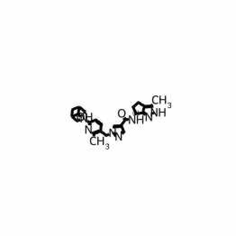 Cc1nc(N2CC3CC(C2)C3O)ccc1Cn1cc(C(=O)N[C@@H]2CCc3c2n[nH]c3C)cn1